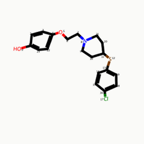 Oc1ccc(OCCN2CCC(Sc3ccc(Cl)cc3)CC2)cc1